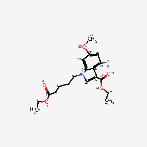 CCOC(=O)CCCCn1cc(C(=O)OCC)c2c(Cl)cc(OC)cc21